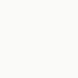 O=C([O-])CO.O=C([O-])CO.O=C([O-])CO.[La+3]